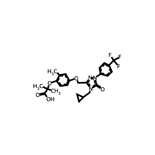 Cc1cc(OCc2nn(-c3ccc(C(F)(F)F)cc3)c(=O)n2CC2CC2)ccc1OC(C)(C)C(=O)O